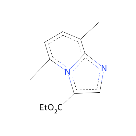 CCOC(=O)c1cnc2c(C)ccc(C)n12